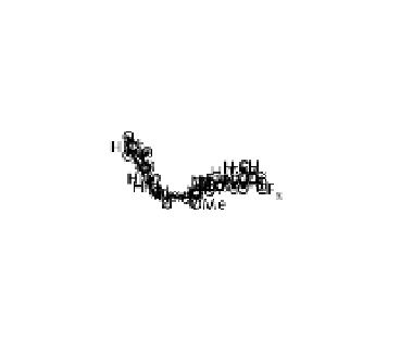 COc1cc2c(Oc3ccc(NC(=O)c4c(C)n(C)c5ccc(OC(F)(F)F)cc5c4=O)cc3F)ncnc2cc1OCCCC(=O)N1CCN(NC(=O)Nc2ccc3c(c2)CN(C2CCC(=O)NC2=O)C3=O)CC1